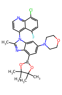 Cc1nc2c(B3OC(C)(C)C(C)(C)O3)cc(N3CCOCC3)cc2n1-c1ccnc2c(Cl)ccc(F)c12